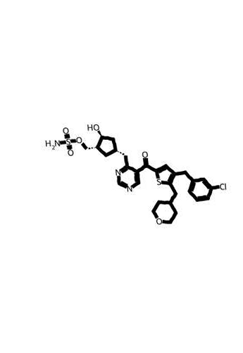 NS(=O)(=O)OC[C@H]1C[C@@H](Cc2ncncc2C(=O)c2cc(Cc3cccc(Cl)c3)c(CC3CCOCC3)s2)C[C@@H]1O